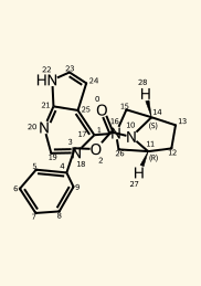 O=C(OCc1ccccc1)N1[C@@H]2CC[C@H]1CN(c1ncnc3[nH]ccc13)C2